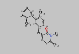 C=C1CC/C(=C/c2ccc(C)c(-c3ccccc3C)c2)C(=O)N1CC